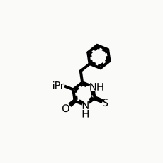 CC(C)c1c(Cc2ccccc2)[nH]c(=S)[nH]c1=O